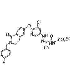 CCOC(=O)NC(=O)C(C#N)=NNc1cnc(Oc2ccc3c(c2)CCN(Cc2ccc(F)cc2)C3=O)c(Cl)c1